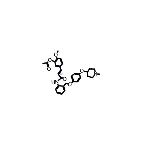 COc1ccc(/C=C/C(=O)Nc2ccccc2COc2ccc(OC3CCN(C)CC3)cc2)cc1OC(C)=O